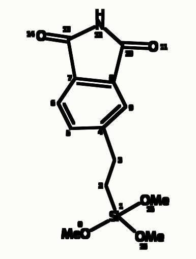 CO[Si](CCc1ccc2c(c1)C(=O)NC2=O)(OC)OC